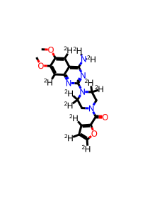 [2H]c1oc(C(=O)N2CC([2H])([2H])N(c3nc(N([2H])[2H])c4c([2H])c(OC)c(OC)c([2H])c4n3)C([2H])([2H])C2)c([2H])c1[2H]